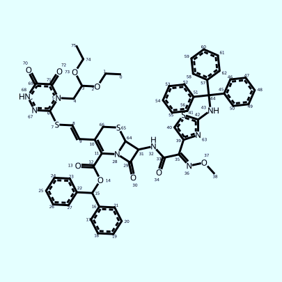 CCOC(Cn1c(S/C=C/C2=C(C(=O)OC(c3ccccc3)c3ccccc3)N3C(=O)C(NC(=O)/C(=N/OC)c4csc(NC(c5ccccc5)(c5ccccc5)c5ccccc5)n4)C3SC2)n[nH]c(=O)c1=O)OCC